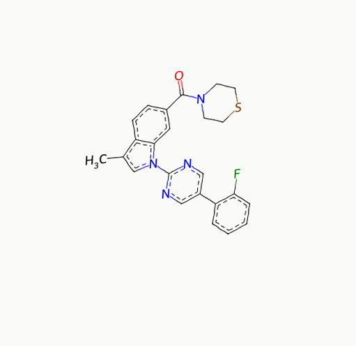 Cc1cn(-c2ncc(-c3ccccc3F)cn2)c2cc(C(=O)N3CCSCC3)ccc12